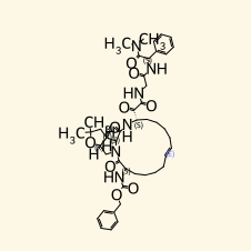 CN(C)C(=O)[C@@H](NC(=O)CNC(=O)C(=O)[C@@H]1CCCC/C=C/CCCC[C@H](NC(=O)OCc2ccccc2)C(=O)N2C[C@@H]3OC(C)(C)C[C@@H]3[C@H]2C(=O)N1)c1ccccc1